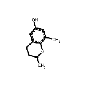 C[C]1CCc2cc(O)cc(C)c2O1